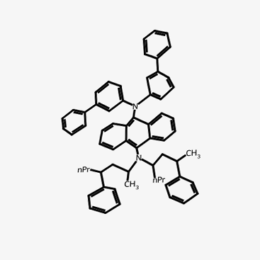 CCCC(CC(C)N(c1c2ccccc2c(N(c2cccc(-c3ccccc3)c2)c2cccc(-c3ccccc3)c2)c2ccccc12)C(CCC)CC(C)c1ccccc1)c1ccccc1